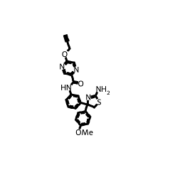 C#CCOc1cnc(C(=O)Nc2cccc(C3(c4ccc(OC)cc4)CSC(N)=N3)c2)cn1